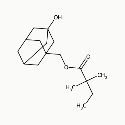 CCC(C)(C)C(=O)OCC12CC3CC(CC(O)(C3)C1)C2